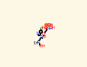 CCN(CCO)CCCC(C)N(C(=O)OCCCC(=O)NC(P(=O)(O)O)P(=O)(O)O)c1ccnc2cc(Cl)ccc12